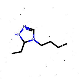 CCCCN1C=NNC1CC